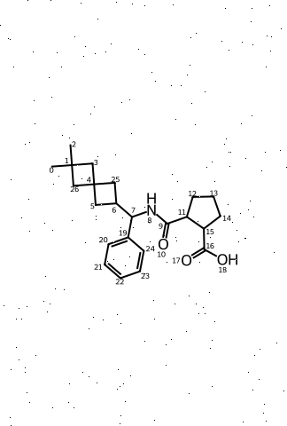 CC1(C)CC2(CC(C(NC(=O)C3CCCC3C(=O)O)c3ccccc3)C2)C1